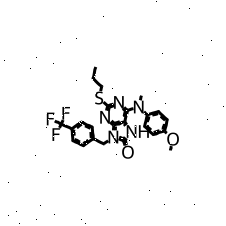 CCCSc1nc(N(C)c2ccc(OC)cc2)c2[nH]c(=O)n(Cc3ccc(C(F)(F)F)cc3)c2n1